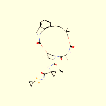 C=C[C@@H]1C[C@]1(NC(=O)[C@@H]1C[C@@H]2CN1C(=O)[C@H](C(C)C)NC(=O)OCC(C)(C)CCCc1cccc3c1CN(C3)C(=O)O2)C(=O)NS(=O)(=O)C1CC1